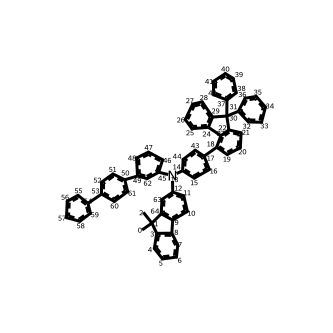 CC1(C)c2ccccc2-c2ccc(N(c3ccc(-c4cccc5c4-c4ccccc4C5(c4ccccc4)c4ccccc4)cc3)c3cccc(-c4ccc(-c5ccccc5)cc4)c3)cc21